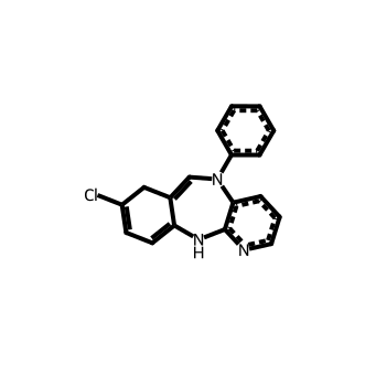 ClC1=CC=C2Nc3ncccc3N(c3ccccc3)C=C2C1